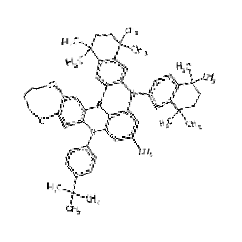 Cc1cc2c3c(c1)N(c1ccc4c(c1)C(C)(C)CCC4(C)C)c1cc4c(cc1B3c1cc3c(cc1N2c1ccc(C(C)(C)C)cc1)OCCCO3)C(C)(C)CCC4(C)C